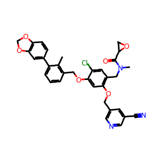 Cc1c(COc2cc(OCc3cncc(C#N)c3)c(CN(C)C(=O)C3CO3)cc2Cl)cccc1-c1ccc2c(c1)OCO2